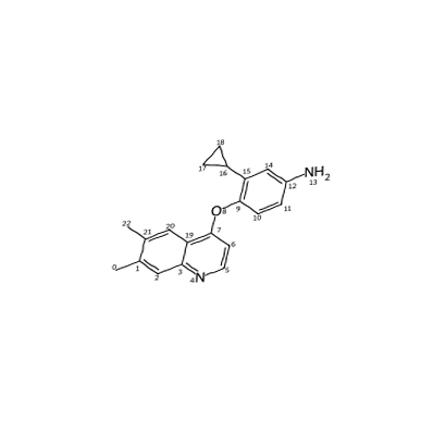 Cc1cc2nccc(Oc3ccc(N)cc3C3CC3)c2cc1C